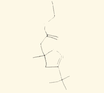 CCOC(=O)CC1(C)CC(C(C)(C)C)=NO1